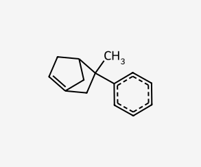 CC1(c2ccccc2)CC2=CCC1C2